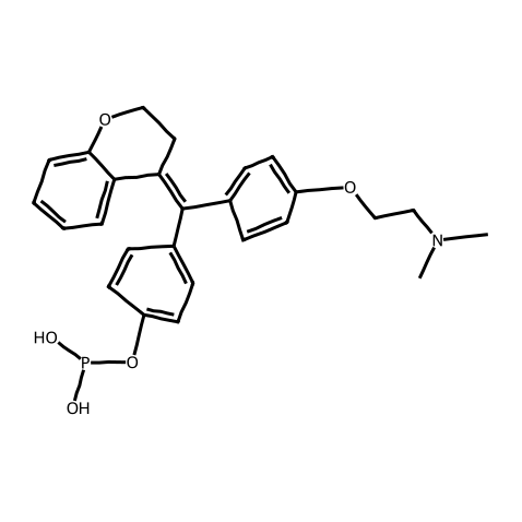 CN(C)CCOc1ccc(C(=C2CCOc3ccccc32)c2ccc(OP(O)O)cc2)cc1